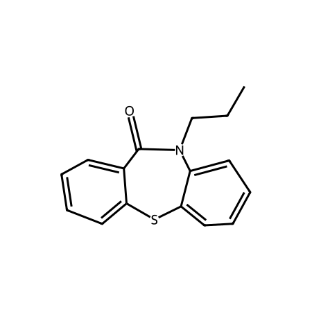 CCCN1C(=O)c2ccccc2Sc2ccccc21